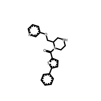 O=C(c1ccc(-c2ccccc2)s1)N1CCNCC1COc1cccnc1